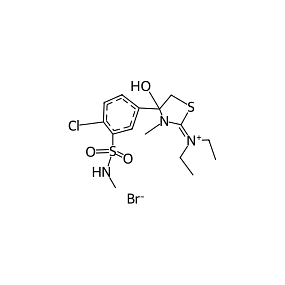 CC[N+](CC)=C1SCC(O)(c2ccc(Cl)c(S(=O)(=O)NC)c2)N1C.[Br-]